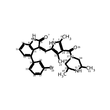 Cc1[nH]c(C=C2C(=O)Nc3cccc(-c4cccc(Br)c4)c32)c(C)c1C(=O)N1CC(C)NC(C)C1